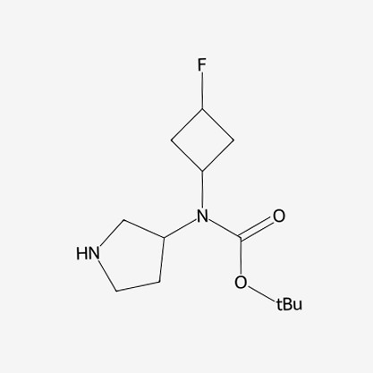 CC(C)(C)OC(=O)N(C1CCNC1)C1CC(F)C1